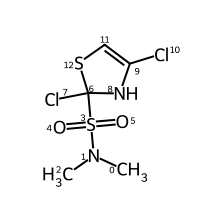 CN(C)S(=O)(=O)C1(Cl)NC(Cl)=CS1